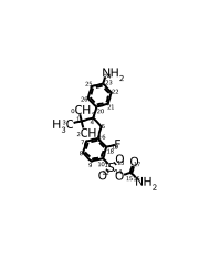 CC(C)(C)C(Cc1cccc(S(=O)(=O)OC(N)=O)c1F)c1ccc(N)cc1